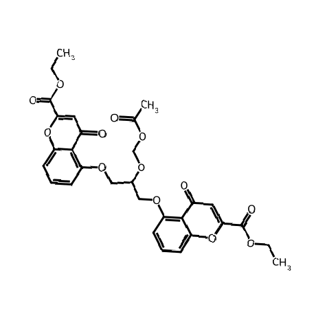 CCOC(=O)c1cc(=O)c2c(OCC(COc3cccc4oc(C(=O)OCC)cc(=O)c34)OCOC(C)=O)cccc2o1